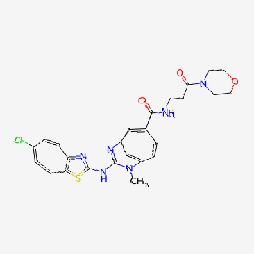 CN1C2=CC(C=C(C(=O)NCCC(=O)N3CCOCC3)C=C2)N=C1Nc1nc2c(s1)C=C=C(Cl)C=C2